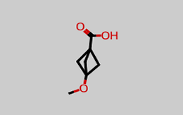 COC12CC(C(=O)O)(C1)C2